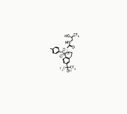 Cc1ccc(S(=O)(=O)N2c3ccc(C(O)(C(F)(F)F)C(F)(F)F)cc3CC[C@H]2CC(=O)NCC(O)C(F)(F)F)cc1